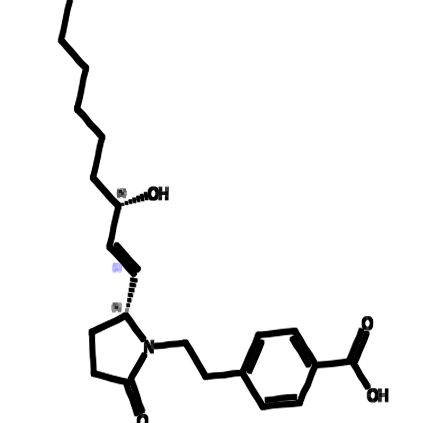 CCCCCC[C@H](O)/C=C/[C@H]1CCC(=O)N1CCc1ccc(C(=O)O)cc1